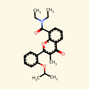 CCN(CC)C(=O)c1cccc2c(=O)c(C)c(-c3ccccc3OC(C)C)oc12